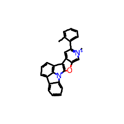 Cc1ccccc1-c1cc2c(c[n+]1C)oc1c2c2cccc3c4ccccc4n1c32